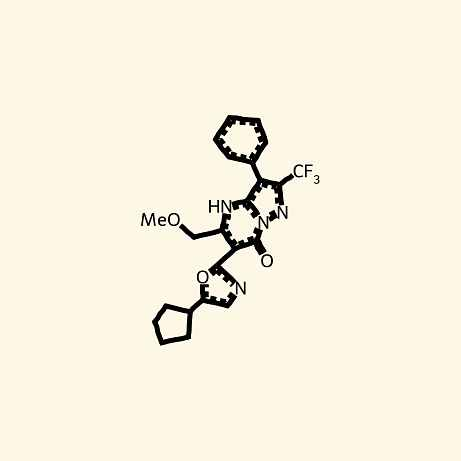 COCc1[nH]c2c(-c3ccccc3)c(C(F)(F)F)nn2c(=O)c1-c1ncc(C2CCCC2)o1